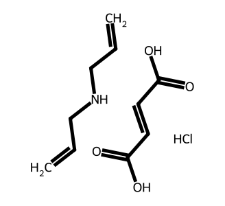 C=CCNCC=C.Cl.O=C(O)C=CC(=O)O